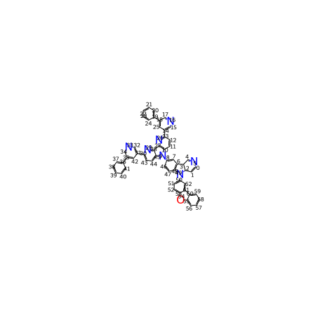 C1=CC2C(C=N1)c1cc(-n3c4ccc(-c5cncc(-c6ccccc6)c5)nc4c4nc(-c5cncc(-c6ccccc6)c5)ccc43)ccc1N2c1ccc2oc3ccccc3c2c1